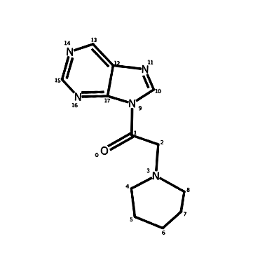 O=C(CN1CCCCC1)n1cnc2cncnc21